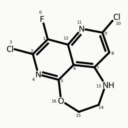 Fc1c(Cl)nc2c3c(cc(Cl)nc13)NCCO2